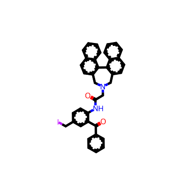 O=C(CN1Cc2ccc3ccccc3c2-c2c(ccc3ccccc23)C1)Nc1ccc(CI)cc1C(=O)c1ccccc1